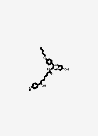 COc1ccc(C(O)CCCCCC(=O)N[C@H](CN2CC[C@@H](O)C2)[C@H](O)c2ccc(OCCCCF)cc2)cc1